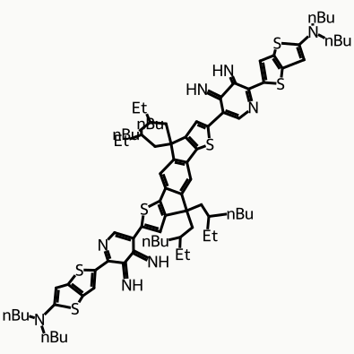 CCCCC(CC)CC1(CC(CC)CCCC)c2cc3c(cc2-c2sc(C4=CN=C(c5cc6sc(N(CCCC)CCCC)cc6s5)C(=N)C4=N)cc21)C(CC(CC)CCCC)(CC(CC)CCCC)c1cc(C2=CN=C(c4cc5sc(N(CCCC)CCCC)cc5s4)C(=N)C2=N)sc1-3